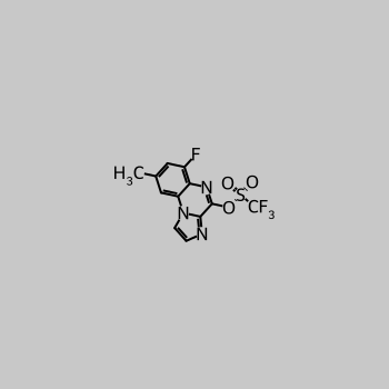 Cc1cc(F)c2nc(OS(=O)(=O)C(F)(F)F)c3nccn3c2c1